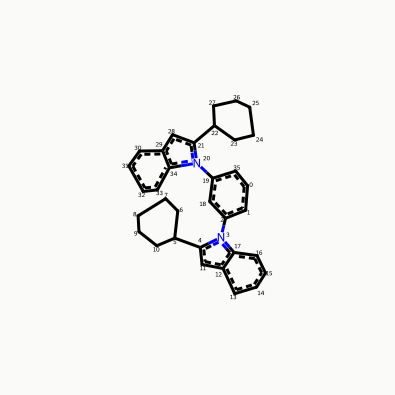 c1cc(-n2c(C3CCCCC3)cc3ccccc32)cc(-n2c(C3CCCCC3)cc3ccccc32)c1